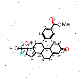 COC(=O)c1ccc([C@H]2C[C@@]3(C)C(CC[C@@]3(O)C(F)(F)C(F)(F)F)C3CCC4=CC(=O)CCC4C32)cc1